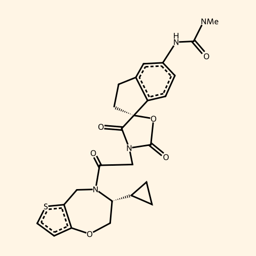 CNC(=O)Nc1ccc2c(c1)CC[C@@]21OC(=O)N(CC(=O)N2Cc3sccc3OC[C@H]2C2CC2)C1=O